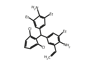 C=Cc1cc(C(c2cc(CC)c(N)c(CC)c2)c2c(Cl)cccc2Cl)cc(CC)c1N